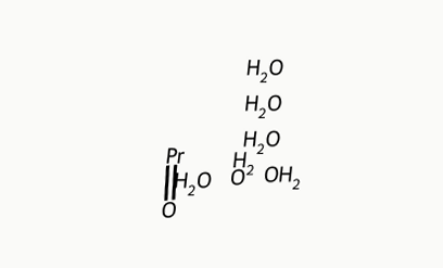 O.O.O.O.O.O.[O]=[Pr]